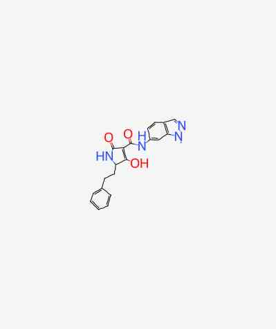 Cn1ncc2ccc(NC(=O)C3=C(O)C(CCc4ccccc4)NC3=O)cc21